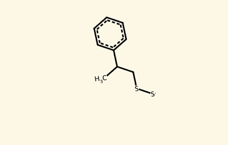 CC(CS[S])c1ccccc1